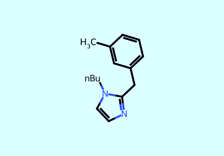 CCCCn1ccnc1Cc1cccc(C)c1